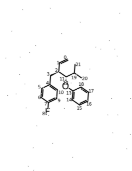 C=C[C@H](Cc1ccc(F)cc1)[C@@H](Oc1ccccc1)C(C)C